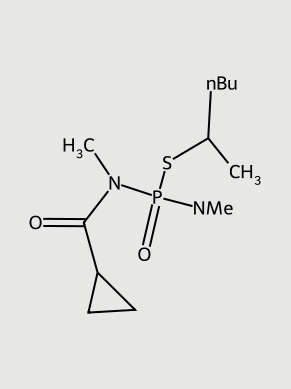 CCCCC(C)SP(=O)(NC)N(C)C(=O)C1CC1